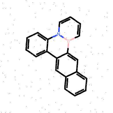 C1=CB2c3cc4ccccc4cc3-c3ccccc3N2C=C1